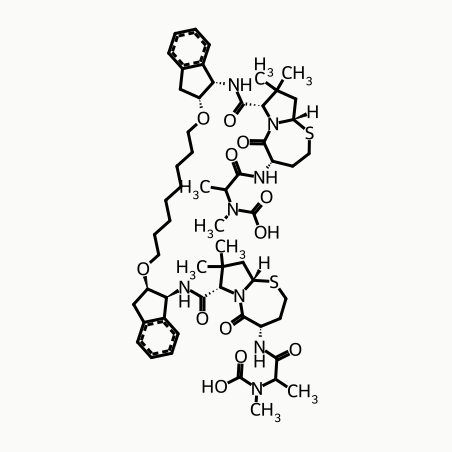 CC(C(=O)N[C@H]1CCS[C@H]2CC(C)(C)[C@@H](C(=O)N[C@H]3c4ccccc4C[C@H]3OCCCCCCCCO[C@@H]3Cc4ccccc4[C@@H]3NC(=O)[C@H]3N4C(=O)[C@@H](NC(=O)C(C)N(C)C(=O)O)CCS[C@H]4CC3(C)C)N2C1=O)N(C)C(=O)O